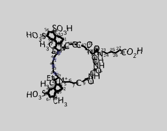 CCC1(C)C2=[N+](CCCCCC(=O)NCC(=O)NCCC(C(=O)NCCCCCC(=O)O)NC(=O)CCCCCN3/C(=C/C=C/C=C/C=C/2)C(C)(CC)c2c3ccc3c(S(=O)(=O)O)cc(S(=O)(=O)O)cc23)c2ccc3c(C)cc(S(=O)(=O)O)cc3c21